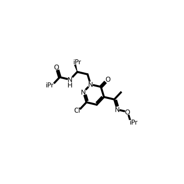 C/C(=N\OC(C)C)c1cc(Cl)nn(C[C@@H](NC(=O)C(C)C)C(C)C)c1=O